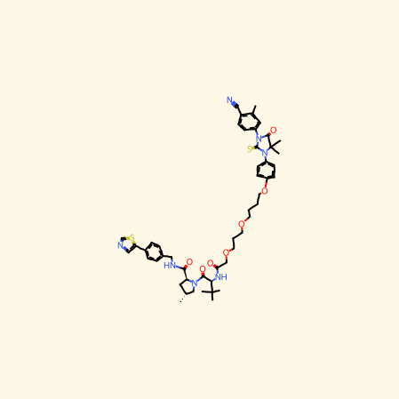 Cc1cc(N2C(=O)C(C)(C)N(c3ccc(OCCCCOCCCOCC(=O)N[C@H](C(=O)N4C[C@H](C)C[C@H]4C(=O)NCc4ccc(-c5cncs5)cc4)C(C)(C)C)cc3)C2=S)ccc1C#N